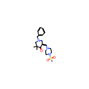 CC1(C)CN(Cc2ccccc2)C/C(=C/N2CCN(S(C)(=O)=O)CC2)C1=O